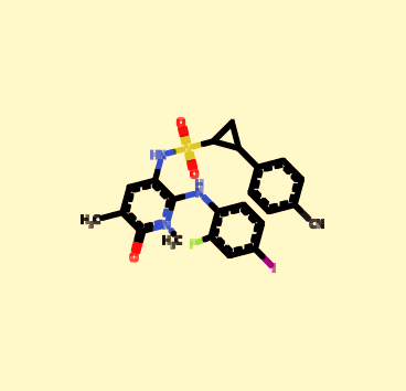 Cc1cc(NS(=O)(=O)C2CC2c2ccc(C#N)cc2)c(Nc2ccc(I)cc2F)n(C)c1=O